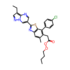 CCCCOOC(=O)Cc1c(C)cc2nc(-c3cnc4c(CC)cnn4c3)sc2c1-c1ccc(Cl)cc1